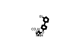 CCc1cccc(-c2ccc(Oc3[nH]nnc3C(=O)O)cc2)c1